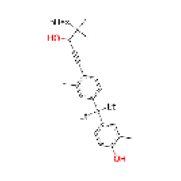 CCCCCCC(C)(C)C(O)C#Cc1ccc(C(CC)(CC)c2ccc(O)c(C)c2)cc1C